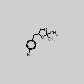 CC1(C)OCC(Cc2ccc(Br)cc2)O1